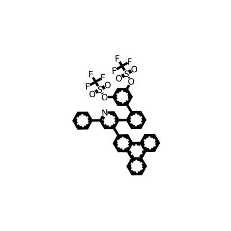 O=S(=O)(Oc1cc(OS(=O)(=O)C(F)(F)F)cc(-c2ccccc2-c2cnc(-c3ccccc3)cc2-c2ccc3c4ccccc4c4ccccc4c3c2)c1)C(F)(F)F